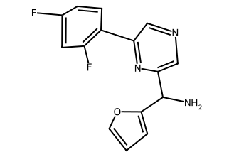 NC(c1cncc(-c2ccc(F)cc2F)n1)c1ccco1